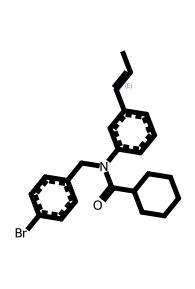 C/C=C/c1cccc(N(Cc2ccc(Br)cc2)C(=O)C2CCCCC2)c1